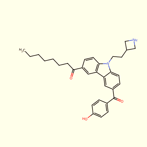 CCCCCCCC(=O)c1ccc2c(c1)c1cc(C(=O)c3ccc(O)cc3)ccc1n2CCC1CNC1